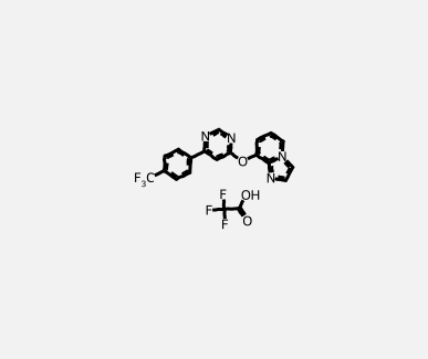 FC(F)(F)c1ccc(-c2cc(Oc3cccn4ccnc34)ncn2)cc1.O=C(O)C(F)(F)F